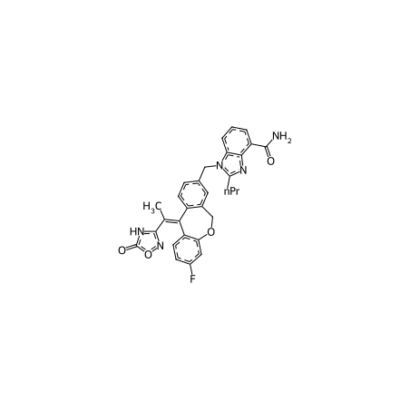 CCCc1nc2c(C(N)=O)cccc2n1Cc1ccc2c(c1)COc1cc(F)ccc1C2=C(C)c1noc(=O)[nH]1